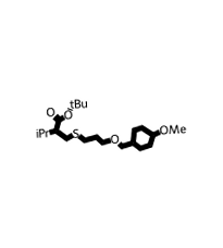 COC1CCC(COCCCSCC(C(=O)OC(C)(C)C)C(C)C)CC1